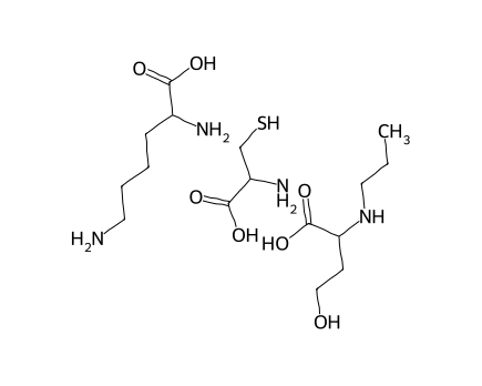 CCCNC(CCO)C(=O)O.NC(CS)C(=O)O.NCCCCC(N)C(=O)O